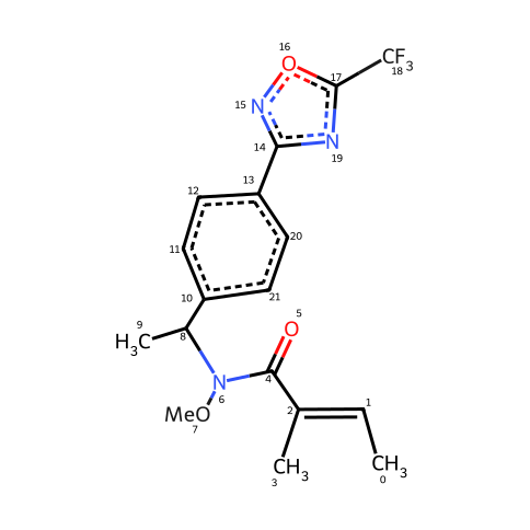 C/C=C(\C)C(=O)N(OC)C(C)c1ccc(-c2noc(C(F)(F)F)n2)cc1